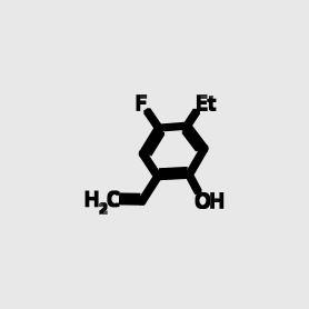 C=Cc1cc(F)c(CC)cc1O